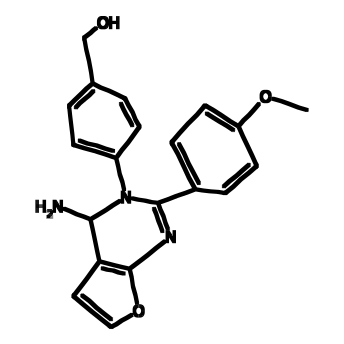 COc1ccc(C2=Nc3occc3C(N)N2c2ccc(CO)cc2)cc1